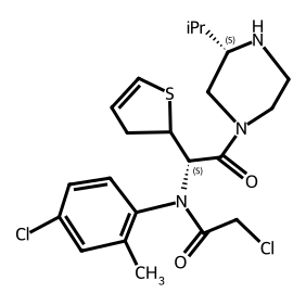 Cc1cc(Cl)ccc1N(C(=O)CCl)[C@@H](C(=O)N1CCN[C@@H](C(C)C)C1)C1CC=CS1